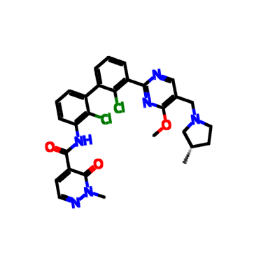 COc1nc(-c2cccc(-c3cccc(NC(=O)c4ccnn(C)c4=O)c3Cl)c2Cl)ncc1CN1CC[C@H](C)C1